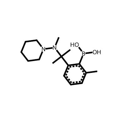 Cc1cccc(C(C)(C)N(C)N2CCCCC2)c1B(O)O